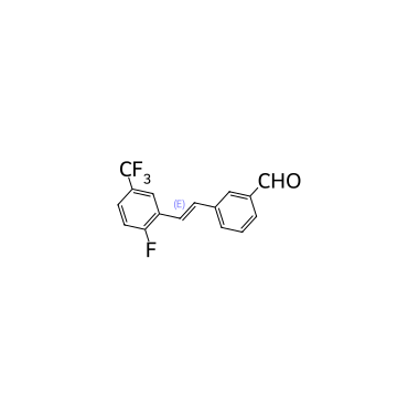 O=Cc1cccc(/C=C/c2cc(C(F)(F)F)ccc2F)c1